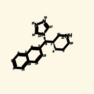 c1ccc2cc([C@@H]([C@H]3CCCNC3)n3cnnc3)ccc2c1